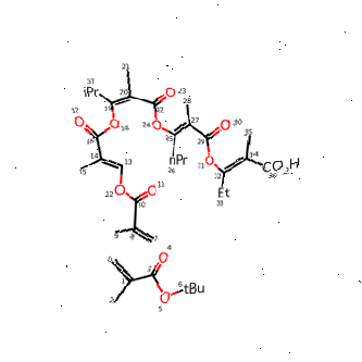 C=C(C)C(=O)OC(C)(C)C.C=C(C)C(=O)OC=C(C)C(=O)OC(=C(C)C(=O)OC(CCC)=C(C)C(=O)OC(CC)=C(C)C(=O)O)C(C)C